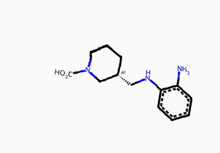 Nc1ccccc1NC[C@H]1CCCN(C(=O)O)C1